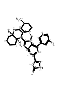 C[C@H]1CC[C@H](Cn2c(N3CCO[C@H]4CCCC[C@H]43)nc3nc(-c4n[nH]c(=O)o4)nc(-c4cncc(Cl)c4)c32)CC1